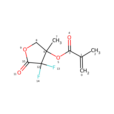 C=C(C)C(=O)OC1(C)COC(=O)C1(F)F